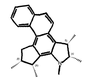 C[C@@H]1Cc2c(c3c(c4ccc5ccccc5c24)[C@H](C)[C@H](C)N3C)[C@@H]1C